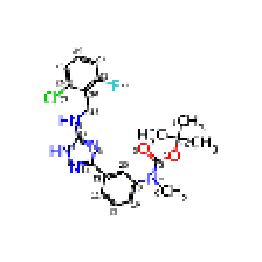 CN(C(=O)OC(C)(C)C)c1cccc(-c2n[nH]c(NCc3c(F)cccc3Cl)n2)c1